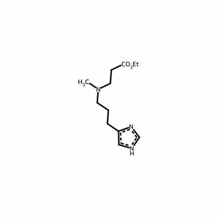 CCOC(=O)CCN(C)CCCc1c[nH]cn1